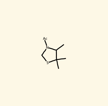 CC(=O)N1CSC(C)(C)C1C